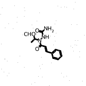 CC([C]=O)N(NC(N)=O)C(=O)C=Cc1ccccc1